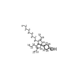 CCCCCCCCCCC(CCCC)C(CCCC)(CCCC)c1ccc(O)cc1